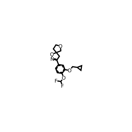 FC(F)Oc1ccc(C2=NOC3(CCOC3)C2)cc1OCC1CC1